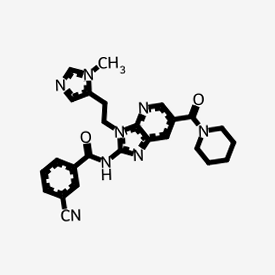 Cn1cncc1CCn1c(NC(=O)c2cccc(C#N)c2)nc2cc(C(=O)N3CCCCC3)cnc21